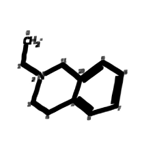 [CH2]CN1CCc2ccccc2C1